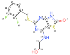 O=c1[nH]c2nc(SCc3cccc(F)c3F)nc(NCCO)c2s1